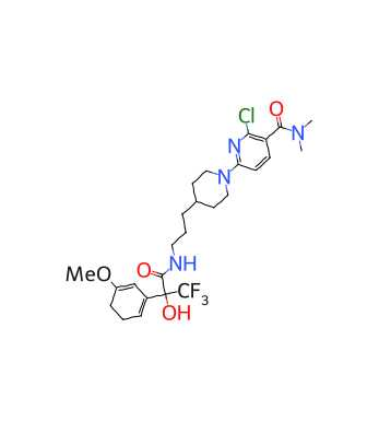 COC1=CC(C(O)(C(=O)NCCCC2CCN(c3ccc(C(=O)N(C)C)c(Cl)n3)CC2)C(F)(F)F)=CCC1